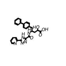 O=C(NC(Cc1ccc(-c2ccccc2)cc1)CC(O)C(=O)O)c1nnc(-c2ccccn2)[nH]1